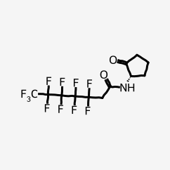 O=C(CC(F)(F)C(F)(F)C(F)(F)C(F)(F)C(F)(F)F)N[C@H]1CCCC1=O